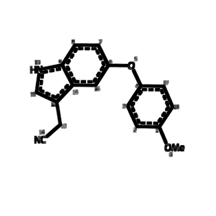 COc1ccc(Oc2ccc3[nH]cc(CC#N)c3c2)cc1